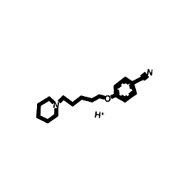 N#Cc1ccc(OCCCCCN2CCCCC2)cc1.[H+]